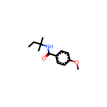 CCC(C)(C)NC(=O)c1ccc(OC)cc1